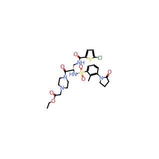 CCOC(=O)CN1CCN(C(=O)[C@H](CNC(=O)c2ccc(Cl)s2)NS(=O)(=O)c2cccc(N3CCCC3=O)c2C)CC1